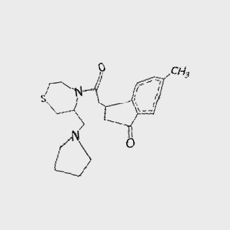 Cc1ccc2c(c1)C(C(=O)N1CCSCC1CN1CCCC1)CC2=O